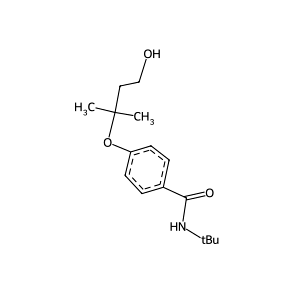 CC(C)(C)NC(=O)c1ccc(OC(C)(C)CCO)cc1